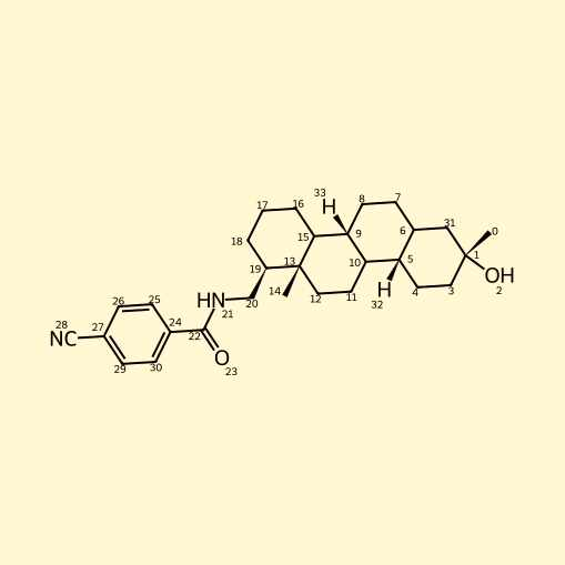 C[C@@]1(O)CC[C@H]2C(CC[C@@H]3C2CC[C@@]2(C)C3CCC[C@@H]2CNC(=O)c2ccc(C#N)cc2)C1